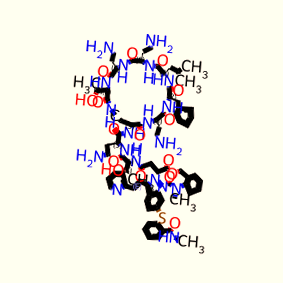 CNC(=O)c1ccccc1Sc1ccc2c(/C=C/c3ccccn3)nn(C(=O)N(C)c3ccccc3COC(=O)CCC(=O)N[C@H](C(=O)N[C@@H](CCN)C(=O)N[C@H]3CCNC(=O)[C@H]([C@@H](C)O)NC(=O)[C@H](CCN)NC(=O)[C@H](CCN)NC(=O)[C@H](CC(C)C)NC(=O)[C@@H](Cc4ccccc4)NC(=O)[C@H](CCN)NC3=O)[C@H](C)O)c2c1